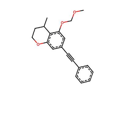 COCOc1cc(C#Cc2ccccc2)cc2c1C(C)CCO2